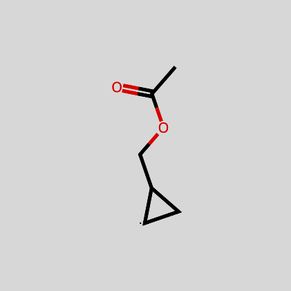 CC(=O)OCC1[CH]C1